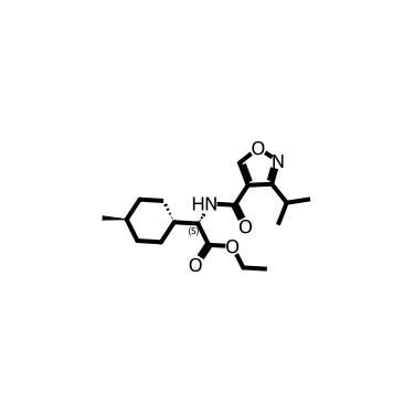 CCOC(=O)[C@@H](NC(=O)c1conc1C(C)C)[C@H]1CC[C@H](C)CC1